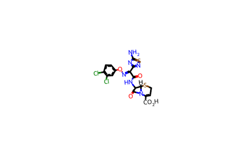 Nc1nc(C(=NOc2ccc(Cl)c(Cl)c2)C(=O)NC2C(=O)N3C(C(=O)O)=CCS[C@@H]23)ns1